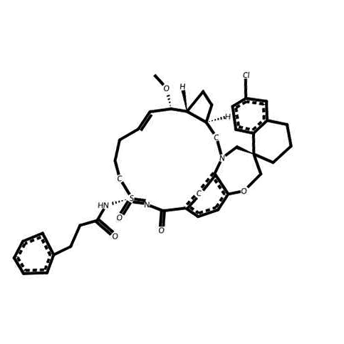 CO[C@H]1/C=C/CCC[S@@](=O)(NC(=O)CCc2ccccc2)=NC(=O)c2ccc3c(c2)N(C[C@@H]2CC[C@H]21)C[C@@]1(CCCc2cc(Cl)ccc21)CO3